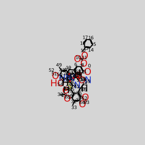 COc1cc2c(cc1OC(=O)OCc1ccccc1)CCN[C@]21CS[C@@H]2c3c(OC(C)=O)c(C)c4c(c3[C@H](COC1=O)N1C2[C@H]2c3c(cc(C)c(OC)c3O)C[C@@H]([C@@H]1C#N)N2C)OCO4